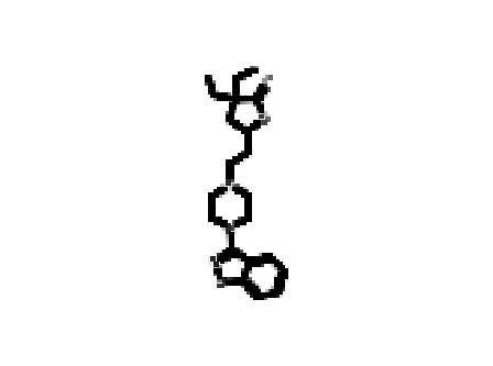 CCC1(CC)CC(CCN2CCN(c3noc4ccccc34)CC2)OC1=O